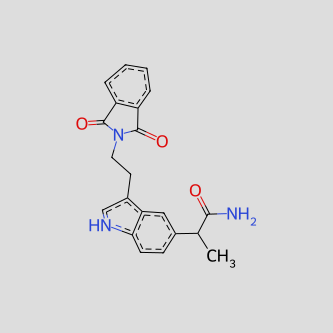 CC(C(N)=O)c1ccc2[nH]cc(CCN3C(=O)c4ccccc4C3=O)c2c1